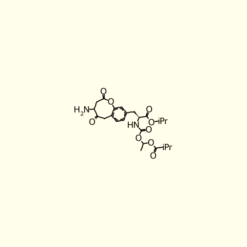 CC(C)OC(=O)[C@H](Cc1ccc2c(c1)OC(=O)CC(N)C(=O)C2)NC(=O)OC(C)OC(=O)C(C)C